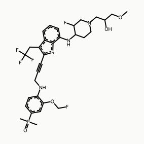 COCC(O)CN1CCC(Nc2cccc3c(CC(F)(F)F)c(C#CCNc4ccc(P(C)(C)=O)cc4OCF)sc23)C(F)C1